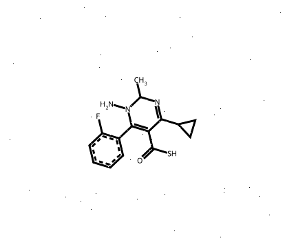 CC1N=C(C2CC2)C(C(=O)S)=C(c2ccccc2F)N1N